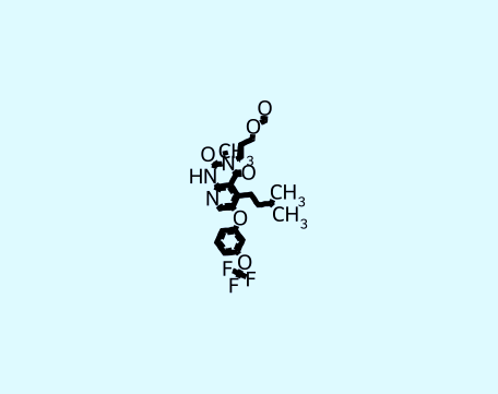 CC(C)CCc1c(Oc2cccc(OC(F)(F)F)c2)cnc2c1C(=O)[N+](C)(CCCOC=O)C(=O)N2